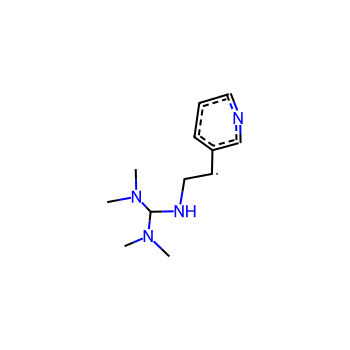 CN(C)C(NC[CH]c1cccnc1)N(C)C